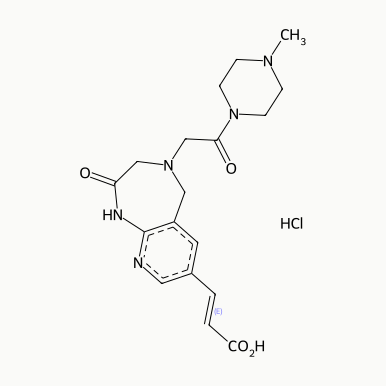 CN1CCN(C(=O)CN2CC(=O)Nc3ncc(/C=C/C(=O)O)cc3C2)CC1.Cl